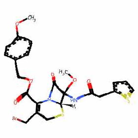 COc1ccc(COC(=O)C2=C(CBr)CS[C@@H]3N2C(=O)C3(NC(=O)Cc2cccs2)OC)cc1